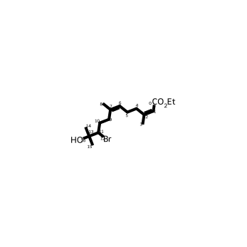 CCOC(=O)C=C(C)CCC=C(C)CCC(Br)C(C)(C)O